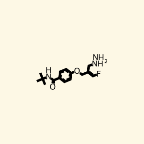 CC(C)(C)NC(=O)c1ccc(OC/C(=C/F)CNN)cc1